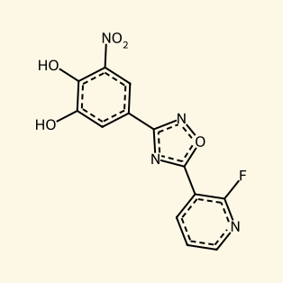 O=[N+]([O-])c1cc(-c2noc(-c3cccnc3F)n2)cc(O)c1O